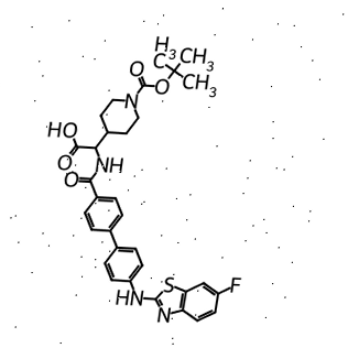 CC(C)(C)OC(=O)N1CCC(C(NC(=O)c2ccc(-c3ccc(Nc4nc5ccc(F)cc5s4)cc3)cc2)C(=O)O)CC1